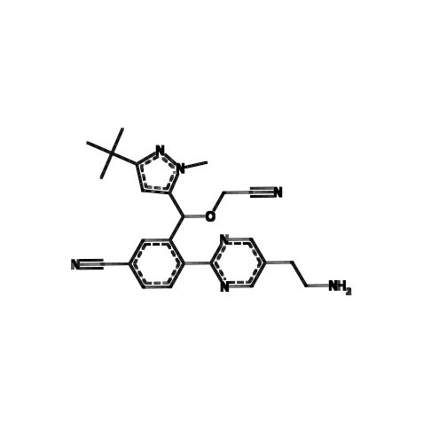 Cn1nc(C(C)(C)C)cc1C(OCC#N)c1cc(C#N)ccc1-c1ncc(CCN)cn1